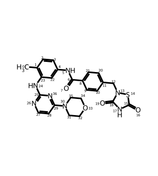 Cc1ccc(NC(=O)c2ccc(Cn3sc(=O)[nH]c3=O)cc2)cc1Nc1nccc(N2CCOCC2)n1